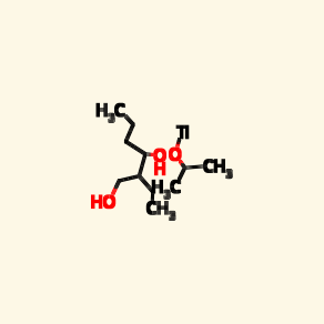 CC(C)[O][Ti].CCCC(O)C(CC)CO